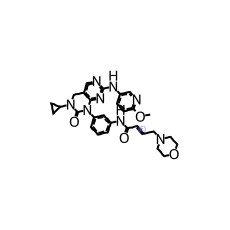 COc1ccc(Nc2ncc3c(n2)N(c2cccc(NC(=O)/C=C/CN4CCOCC4)c2)C(=O)N(C2CC2)C3)cn1